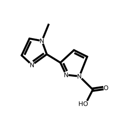 Cn1ccnc1-c1ccn(C(=O)O)n1